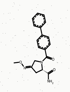 CO/N=C1/C[C@@H](C(N)=O)N(C(=O)c2ccc(-c3ccccc3)cc2)C1